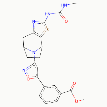 CNC(=O)Nc1nc2c(s1)C1CCC(C2)N1c1cc(-c2cccc(C(=O)OC)c2)on1